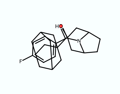 O=C(N1C2CCC1CC(O)(c1ccc(F)cc1)C2)C12CC3CC(CC(C3)C1)C2